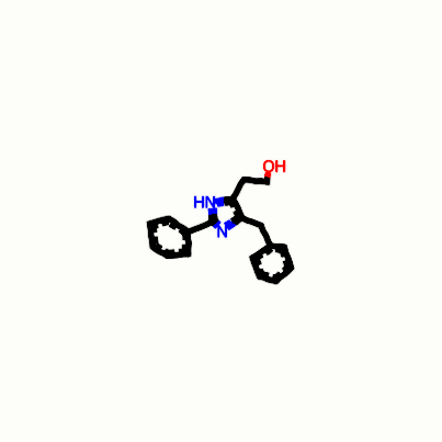 OCCc1[nH]c(-c2ccccc2)nc1Cc1ccccc1